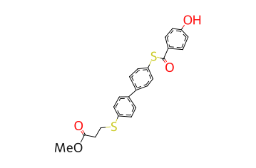 COC(=O)CCSc1ccc(-c2ccc(SC(=O)c3ccc(O)cc3)cc2)cc1